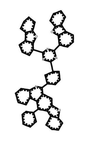 c1ccc(-c2c3c(cc4c(-c5cccc(-c6nc(-c7cccc8c7oc7ccccc78)nc(-c7cccc8c7oc7ccccc78)n6)c5)nc5ccccc5c24)oc2ccccc23)cc1